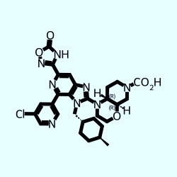 C[C@H]1CC[C@H](Cn2c(N3CCO[C@@H]4CN(C(=O)O)CC[C@H]43)nc3cc(-c4noc(=O)[nH]4)nc(-c4cncc(Cl)c4)c32)CC1